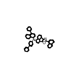 c1ccc(-c2ccc(N(c3ccc(-c4ccccc4)c4ccccc34)c3ccc4c5c(cccc35)-c3nc(-c5cccc6ccccc56)oc3-4)cc2)cc1